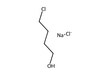 OCCCCCl.[Cl-].[Na+]